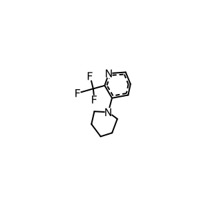 FC(F)(F)c1ncccc1N1CCCCC1